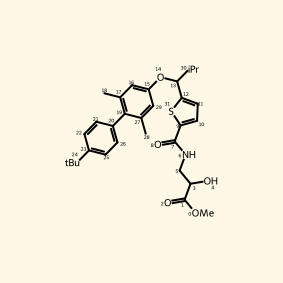 COC(=O)C(O)CNC(=O)c1ccc(C(Oc2cc(C)c(-c3ccc(C(C)(C)C)cc3)c(C)c2)C(C)C)s1